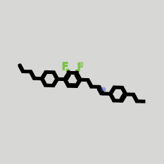 CCCCC1CCC(c2ccc(CC/C=C/C3CC=C(CCC)CC3)c(F)c2F)CC1